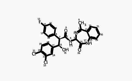 CC1=NC(NC(=O)[C@H](c2ccc(F)cc2)[C@@H](O)c2ccc(Cl)c(Cl)c2)C(=O)Nc2ccccc21